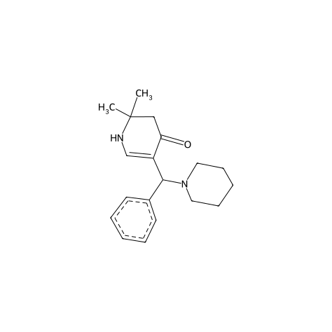 CC1(C)CC(=O)C(C(c2ccccc2)N2CCCCC2)=CN1